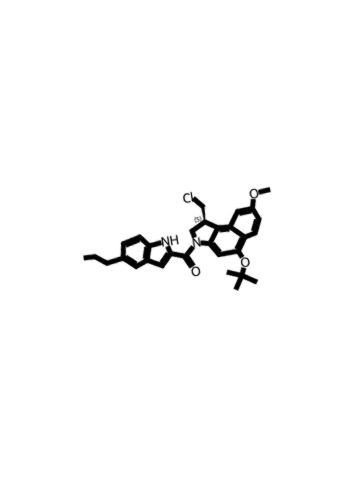 CCCc1ccc2[nH]c(C(=O)N3C[C@@H](CCl)c4c3cc(OC(C)(C)C)c3ccc(OC)cc43)cc2c1